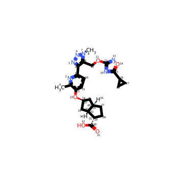 Cc1nc(-c2nnn(C)c2COc2noc(C3CC3)n2)ccc1O[C@H]1C[C@H]2CC[C@H](C(=O)O)[C@H]2C1